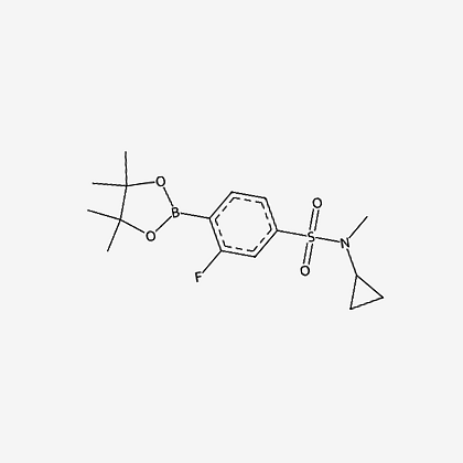 CN(C1CC1)S(=O)(=O)c1ccc(B2OC(C)(C)C(C)(C)O2)c(F)c1